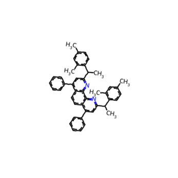 Cc1ccc(C(C)c2cc(-c3ccccc3)c3ccc4c(-c5ccccc5)cc(C(C)c5ccc(C)cc5C)nc4c3n2)c(C)c1